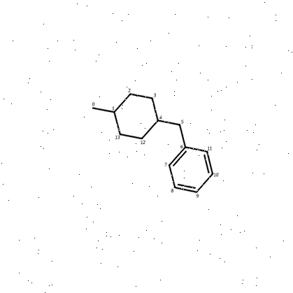 CC1CCC(Cc2ccccc2)CC1